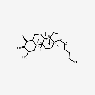 CC(C)CCC[C@@H](C)[C@H]1CC[C@H]2[C@@H]3CCC4C(=O)C(=O)C(O)C[C@]4(C)[C@H]3CC[C@]12C